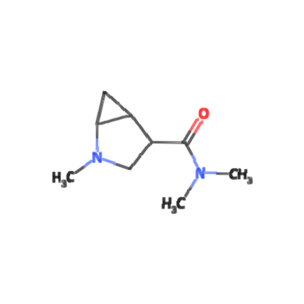 CN(C)C(=O)C1CN(C)C2CC12